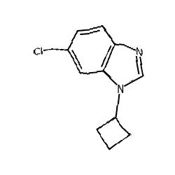 Clc1ccc2ncn(C3CCC3)c2c1